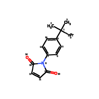 CCCC(C)(C)c1ccc(N2C(=O)C=CC2=O)cc1